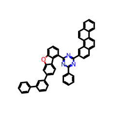 c1ccc(-c2cccc(-c3ccc4c(c3)oc3cccc(-c5nc(-c6ccccc6)nc(-c6ccc7ccc8c9ccccc9ccc8c7c6)n5)c34)c2)cc1